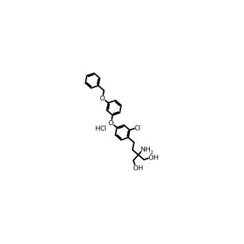 Cl.NC(CO)(CO)CCc1ccc(Oc2cccc(OCc3ccccc3)c2)cc1Cl